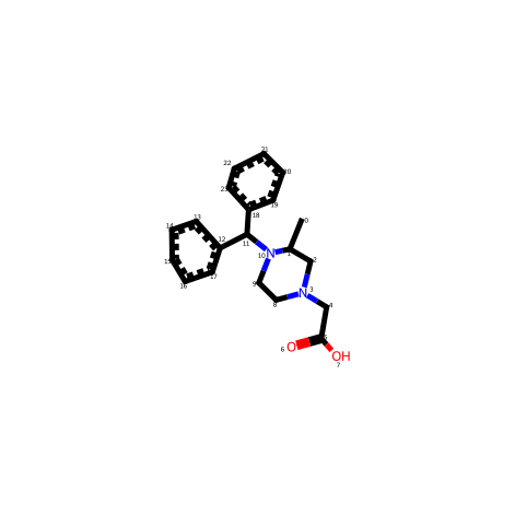 CC1CN(CC(=O)O)CCN1C(c1ccccc1)c1ccccc1